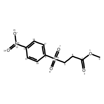 COC(=O)CCS(=O)(=O)c1ccc([N+](=O)[O-])cc1